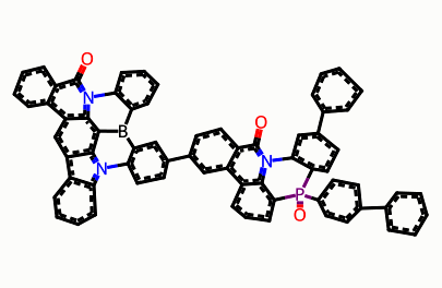 O=c1c2ccc(-c3ccc4c(c3)B3c5ccccc5-n5c(=O)c6ccccc6c6cc7c8ccccc8n-4c7c3c65)cc2c2cccc3c2n1-c1cc(-c2ccccc2)ccc1P3(=O)c1ccc(-c2ccccc2)cc1